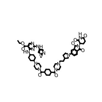 CCOC(=O)c1cnc(Nc2cnn(C)c2)nc1NC1CCC(N2CCN(C(=O)C3CCC(C(=O)N4CCN(CCC5CCN(c6ccc7c(c6)C(=O)N(C6CCC(=O)NC6=O)C7=O)C5)CC4)CC3)CC2)CC1